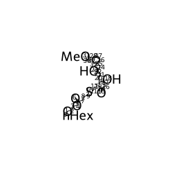 CCCCCCOCCOC(=O)CCCSCC[C@H]1C(=O)C[C@@H](O)[C@@H]1/C=C/[C@@H](O)Cc1cccc(COC)c1